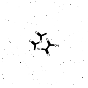 CC(=O)OC(C)=O.O=C(O)C(=O)O